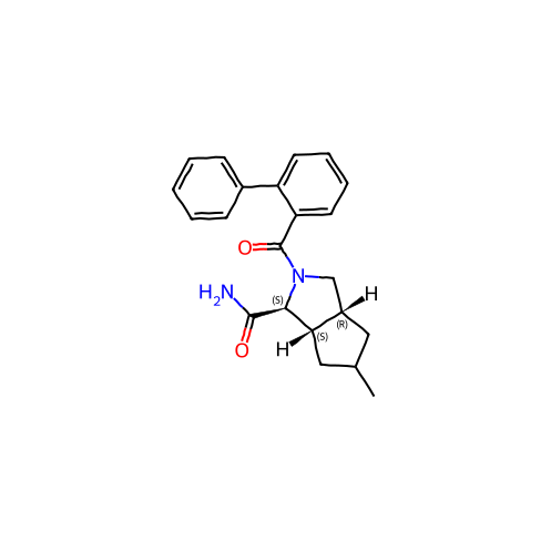 CC1C[C@H]2CN(C(=O)c3ccccc3-c3ccccc3)[C@H](C(N)=O)[C@H]2C1